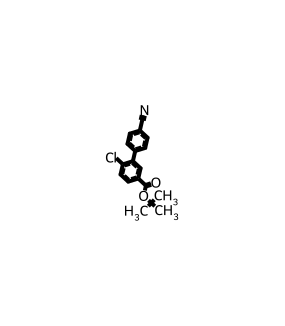 CC(C)(C)OC(=O)c1ccc(Cl)c(-c2ccc(C#N)cc2)c1